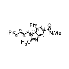 CCc1cc(C(=O)NC)cc2nc(C)n(C/C=C/CC(C)C)c12